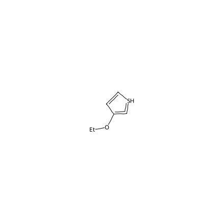 CCOC1=C=[SH]C=C1